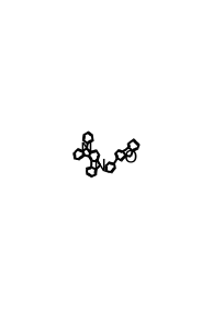 c1ccc(-n2c3ccccc3c3c4c5ccccc5n(-c5cccc(-c6ccc7c(c6)oc6ccccc67)c5)c4ccc32)cc1